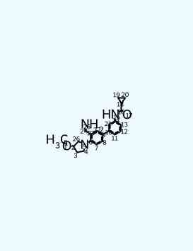 CO[C@@H]1CCN(c2ccc(-c3cccc(NC(=O)C4CC4)c3)cc2CN)C1